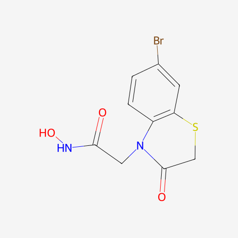 O=C(CN1C(=O)CSc2cc(Br)ccc21)NO